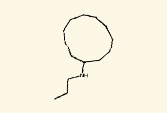 CCCNC1CCCCCCCCCC1